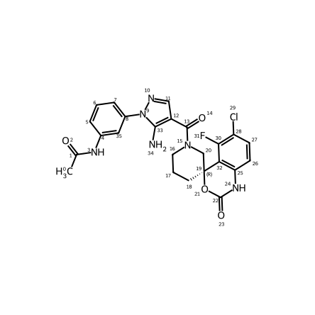 CC(=O)Nc1cccc(-n2ncc(C(=O)N3CCC[C@@]4(C3)OC(=O)Nc3ccc(Cl)c(F)c34)c2N)c1